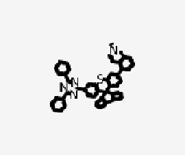 C=N/C=C\c1c(C)cccc1-c1ccc2c(c1)Sc1cc(-c3nc(-c4ccccc4)nc(-c4ccccc4)n3)ccc1C21c2ccccc2-c2ccccc21